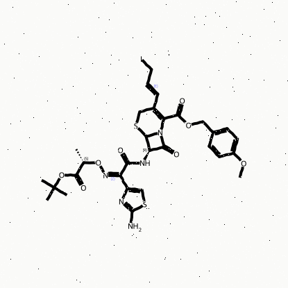 COc1ccc(COC(=O)C2=C(/C=C/CI)CSC3[C@H](NC(=O)/C(=N\O[C@@H](C)C(=O)OC(C)(C)C)c4csc(N)n4)C(=O)N23)cc1